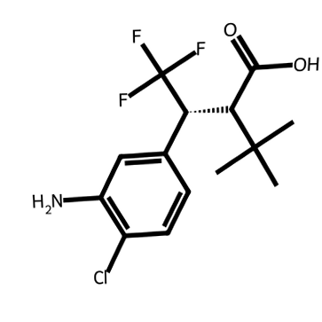 CC(C)(C)C(C(=O)O)[C@H](c1ccc(Cl)c(N)c1)C(F)(F)F